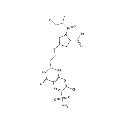 CC(CS)C(=O)N1CC(SCCC2NC(=O)c3cc(S(N)(=O)=O)c(Cl)cc3N2)C[C@H]1C(=O)O